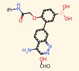 CC(C)NC(=O)COc1ccc(B(O)O)cc1-c1ccc2c(N)cnnc2c1.O=CO